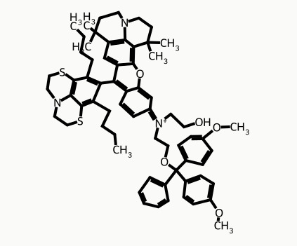 CCCCc1c2c3c(c(CCCC)c1-c1c4cc/c(=[N+](/CCO)CCOC(c5ccccc5)(c5ccc(OC)cc5)c5ccc(OC)cc5)cc-4oc4c5c6c(cc14)C(C)(C)CCN6CCC5(C)C)SCCN3CCS2